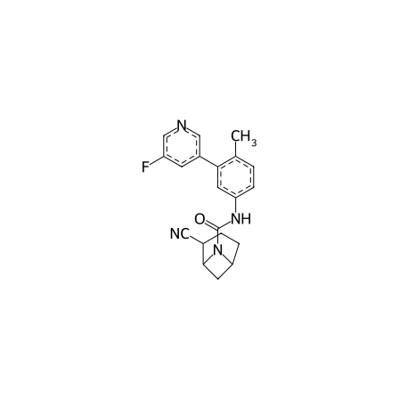 Cc1ccc(NC(=O)N2C3CCC(C#N)C2C3)cc1-c1cncc(F)c1